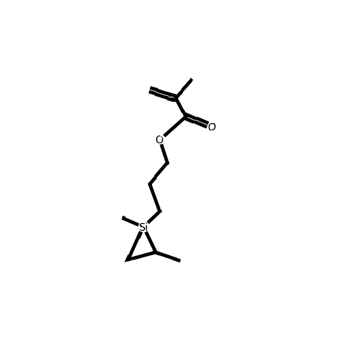 C=C(C)C(=O)OCCC[Si]1(C)CC1C